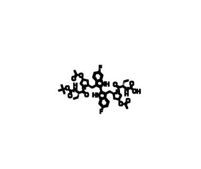 CC[C@H](NC(=O)O)C(=O)N1C[C@@H](OC(C)=O)C[C@H]1Cc1c(-c2[nH]c3cc(F)ccc3c2C[C@@H]2C[C@H](OC(C)=O)CN2C(=O)[C@H](CC)NC(=O)OC(C)(C)C)[nH]c2cc(F)ccc12